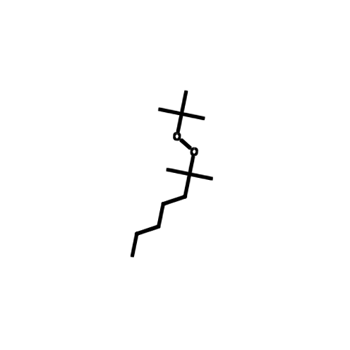 CCCCCC(C)(C)OOC(C)(C)C